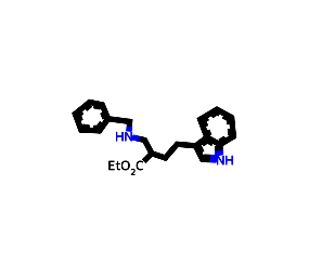 CCOC(=O)C(CCc1c[nH]c2ccccc12)CNCc1ccccc1